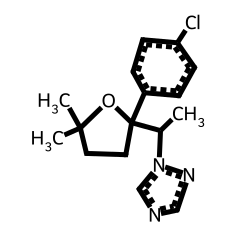 CC(n1cncn1)C1(c2ccc(Cl)cc2)CCC(C)(C)O1